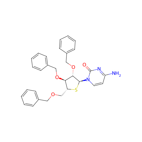 Nc1ccn([C@H]2S[C@H](COCc3ccccc3)[C@@H](OCc3ccccc3)[C@@H]2OCc2ccccc2)c(=O)n1